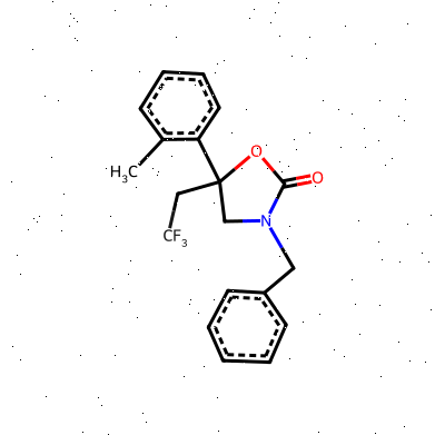 Cc1ccccc1C1(CC(F)(F)F)CN(Cc2ccccc2)C(=O)O1